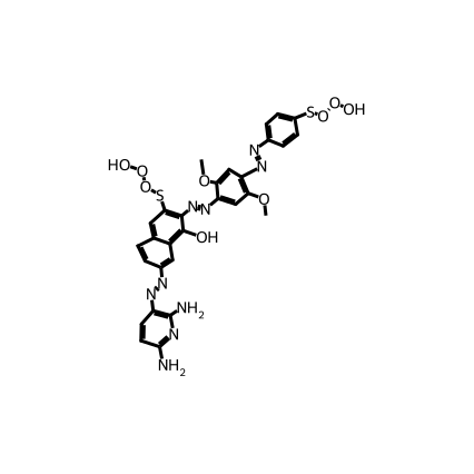 COc1cc(N=Nc2c(SOOO)cc3ccc(N=Nc4ccc(N)nc4N)cc3c2O)c(OC)cc1N=Nc1ccc(SOOO)cc1